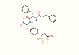 NC(=O)C(Cc1ccc([C@@H]2CC(=O)NS2(=O)=O)cc1)NC(=O)[C@H](Cc1ccccc1)NC(=O)CCc1ccccc1